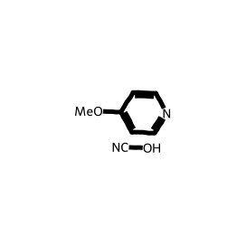 COc1ccncc1.N#CO